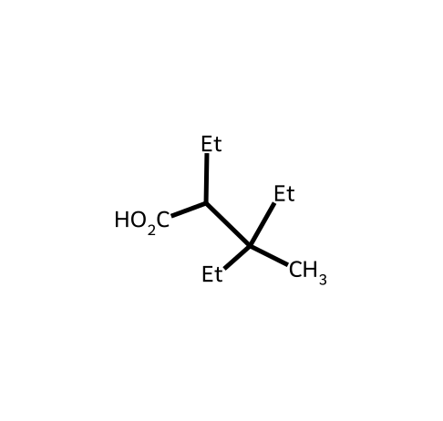 CCC(C(=O)O)C(C)(CC)CC